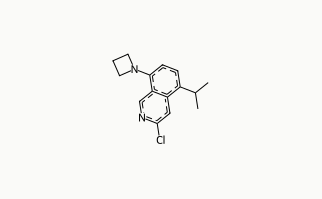 CC(C)c1ccc(N2CCC2)c2cnc(Cl)cc12